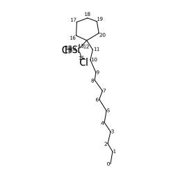 CCCCCCCCCCCCC1([SiH](Cl)Cl)CCCCC1